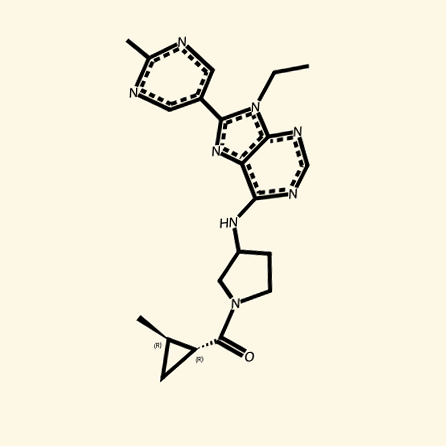 CCn1c(-c2cnc(C)nc2)nc2c(NC3CCN(C(=O)[C@@H]4C[C@H]4C)C3)ncnc21